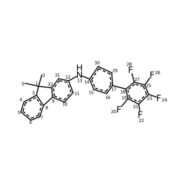 CC1(C)c2ccccc2-c2ccc(Nc3ccc(-c4c(F)c(F)c(F)c(F)c4F)cc3)cc21